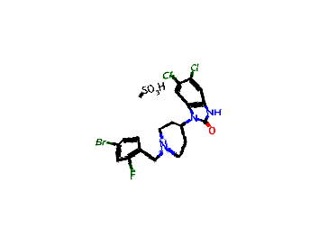 CS(=O)(=O)O.O=c1[nH]c2cc(Cl)c(Cl)cc2n1C1CCN(Cc2ccc(Br)cc2F)CC1